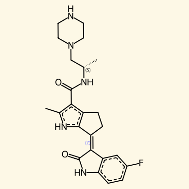 Cc1[nH]c2c(c1C(=O)N[C@@H](C)CN1CCNCC1)CC/C2=C1/C(=O)Nc2ccc(F)cc21